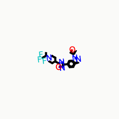 CC(N1CCC(c2nc(-c3ccc4cnn(C5COC5)c4c3)no2)CC1)C(F)(F)F